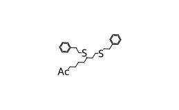 CC(=O)CCCCC(CCSCCc1ccccc1)SCCc1ccccc1